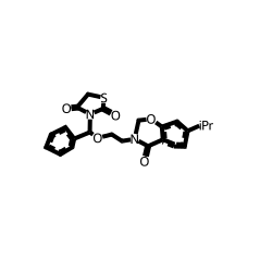 CC(C)c1ccc2c(c1)OCN(CCOC(c1ccccc1)N1C(=O)CSC1=O)C2=O